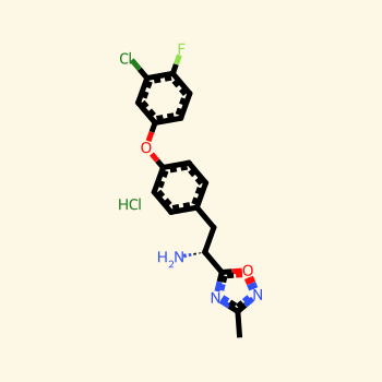 Cc1noc([C@H](N)Cc2ccc(Oc3ccc(F)c(Cl)c3)cc2)n1.Cl